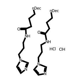 CCCCCCCCCCCCCC(=O)NCCCn1ccnc1.CCCCCCCCCCCCCC(=O)NCCCn1ccnc1.Cl.Cl